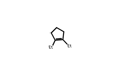 CCC1=C(CC)CC[CH]1